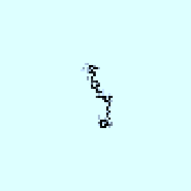 Cc1cc(C(F)(F)F)nn1CC(=O)N1CCC(c2nc(C3=NOC(CCCCOc4c(F)cccc4F)C3)cs2)CC1